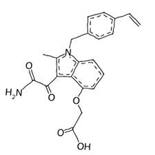 C=Cc1ccc(Cn2c(C)c(C(=O)C(N)=O)c3c(OCC(=O)O)cccc32)cc1